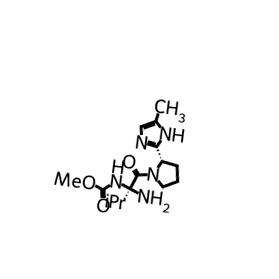 COC(=O)N[C@](N)(C(=O)N1CCC[C@H]1c1ncc(C)[nH]1)C(C)C